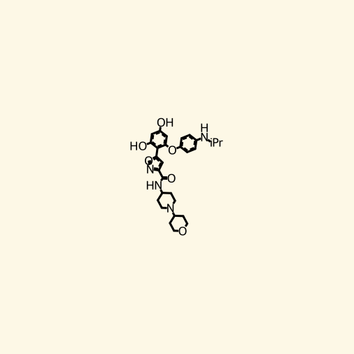 CC(C)Nc1ccc(Oc2cc(O)cc(O)c2-c2cc(C(=O)NC3CCN(C4CCOCC4)CC3)no2)cc1